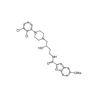 COc1ccc2oc(C(=O)NCCC(O)CN3CCN(c4cccc(Cl)c4Cl)CC3)cc2c1